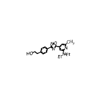 CCN(CC)c1cc(-c2nc(-c3ccc(CCO)cc3)no2)cc(C)n1